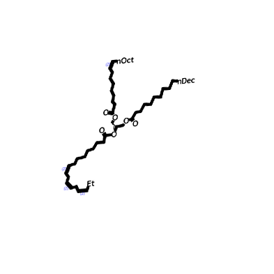 CC/C=C\C/C=C\C/C=C\CCCCCCCC(=O)O[C@H](COC(=O)CCCCCCC/C=C\CCCCCCCC)COC(=O)CCCCCCCCCCCCCCCCCCC